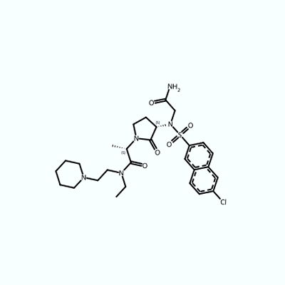 CCN(CCN1CCCCC1)C(=O)[C@H](C)N1CC[C@H](N(CC(N)=O)S(=O)(=O)c2ccc3cc(Cl)ccc3c2)C1=O